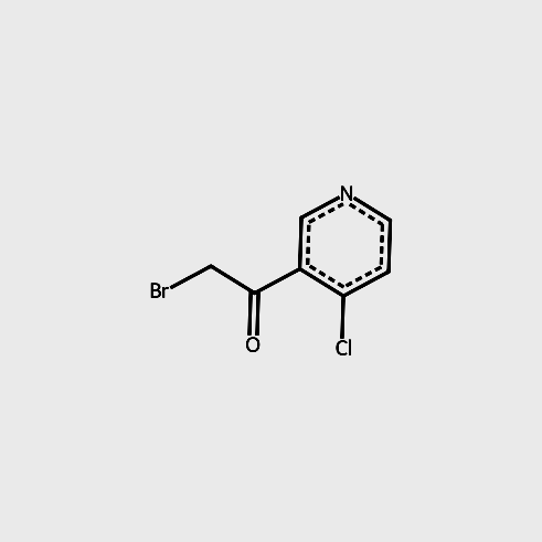 O=C(CBr)c1cnccc1Cl